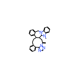 C=C1CC2C(CCc3ccccc3-c3ncnn31)c1ccccc1CN1c3ccccc3N(C)C21